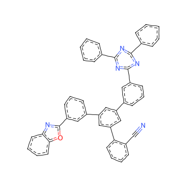 N#Cc1ccccc1-c1cc(-c2cccc(-c3nc(-c4ccccc4)nc(-c4ccccc4)n3)c2)cc(-c2cccc(-c3nc4ccccc4o3)c2)c1